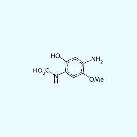 COc1cc(NC(=O)O)c(O)cc1N